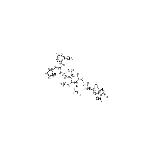 CCCN(CCC)C(CCCNC(=O)OC(C)(C)C)Cc1ccc(CN(Cc2ncc[nH]2)Cc2nccn2C)cc1